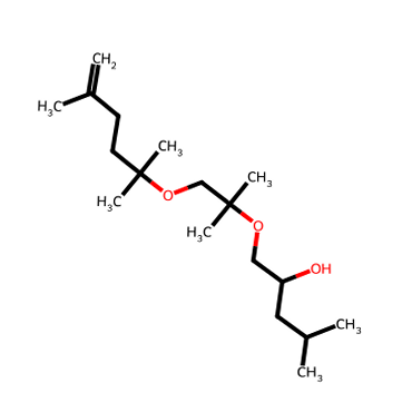 C=C(C)CCC(C)(C)OCC(C)(C)OCC(O)CC(C)C